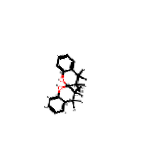 CC1(C)c2ccccc2OC2(Oc3ccccc3C(C)(C)C2(C)C)C1(C)C